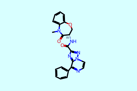 CN1C(=O)[C@@H](NC(=O)c2nc3c(-c4ccccc4)nccn3n2)COc2ccccc21